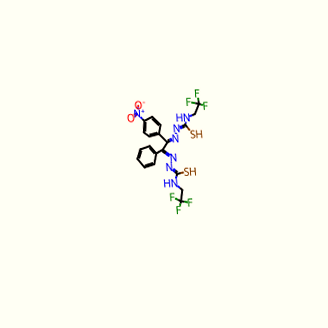 O=[N+]([O-])c1ccc(C(=N\N=C(/S)NCC(F)(F)F)/C(=N/N=C(\S)NCC(F)(F)F)c2ccccc2)cc1